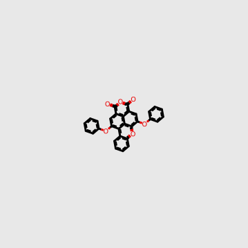 O=c1oc(=O)c2cc(Oc3ccccc3)c3c4ccccc4oc4c(Oc5ccccc5)cc1c2c43